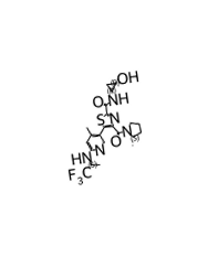 Cc1cc(N[C@@H](C)C(F)(F)F)ncc1-c1sc(C(=O)N[C@@H]2C[C@H]2O)nc1C(=O)N1CCC[C@@H]1C